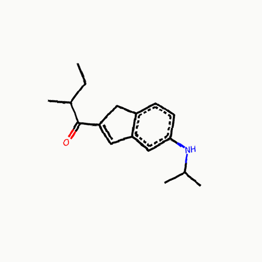 CCC(C)C(=O)C1=Cc2cc(NC(C)C)ccc2C1